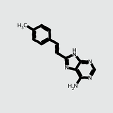 Cc1ccc(/C=C/c2nc3c(N)ncnc3[nH]2)cc1